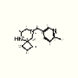 Cc1ccc(CN2CCNC3(CCC3)C2)cn1